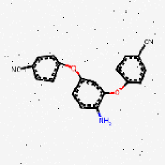 N#Cc1ccc(Oc2ccc(N)c(Oc3ccc(C#N)cc3)c2)cc1